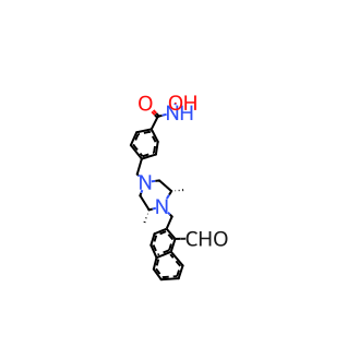 C[C@@H]1CN(Cc2ccc(C(=O)NO)cc2)C[C@H](C)N1Cc1ccc2ccccc2c1C=O